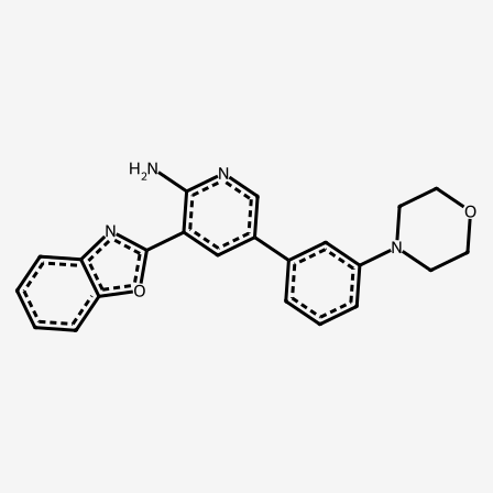 Nc1ncc(-c2cccc(N3CCOCC3)c2)cc1-c1nc2ccccc2o1